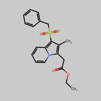 CCOC(=O)Cc1c(C)c(S(=O)(=O)Cc2ccccc2)c2ccccn12